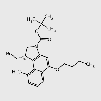 CCCCOc1cc2c(c3c(C)cccc13)[C@H](CBr)CN2C(=O)OC(C)(C)C